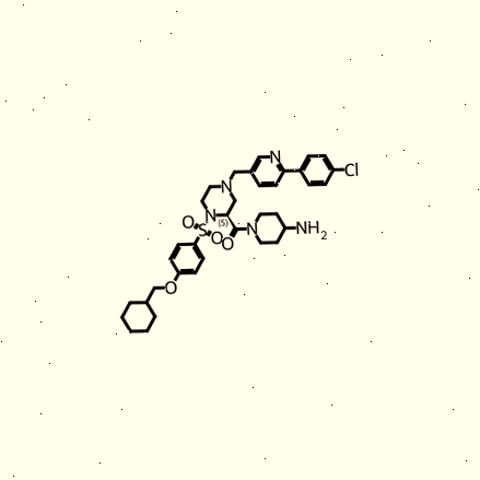 NC1CCN(C(=O)[C@@H]2CN(Cc3ccc(-c4ccc(Cl)cc4)nc3)CCN2S(=O)(=O)c2ccc(OCC3CCCCC3)cc2)CC1